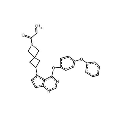 C=CC(=O)N1CC2(CC(n3ccc4ncnc(Oc5ccc(Oc6ccccc6)cc5)c43)C2)C1